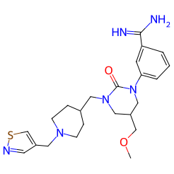 COCC1CN(CC2CCN(Cc3cnsc3)CC2)C(=O)N(c2cccc(C(=N)N)c2)C1